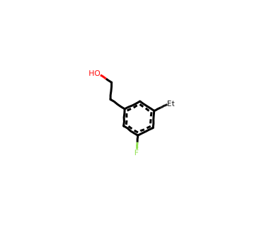 CCc1cc(F)cc(CCO)c1